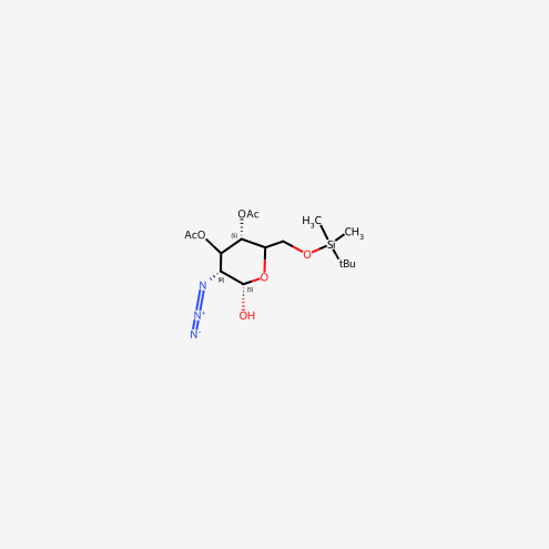 CC(=O)OC1[C@H](OC(C)=O)C(CO[Si](C)(C)C(C)(C)C)O[C@H](O)[C@@H]1N=[N+]=[N-]